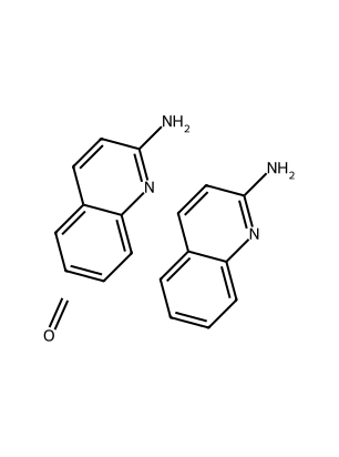 C=O.Nc1ccc2ccccc2n1.Nc1ccc2ccccc2n1